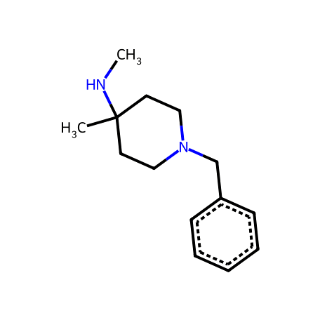 CNC1(C)CCN(Cc2ccccc2)CC1